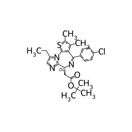 CCc1cnc2n1-c1sc(C)c(C)c1C(c1ccc(Cl)cc1)=N[C@H]2CC(=O)OC(C)(C)C